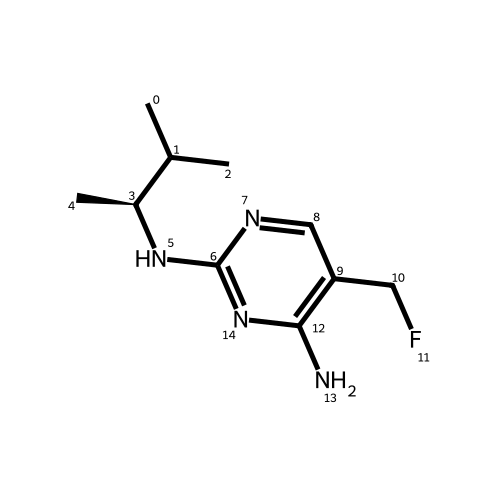 CC(C)[C@H](C)Nc1ncc(CF)c(N)n1